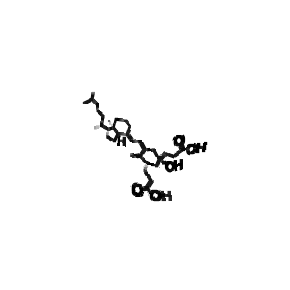 C=C1/C(=C\C=C2/CCC[C@]3(C)[C@@H]([C@H](C)CCCC(C)C)CC[C@@H]23)C[C@](O)(CCC(=O)O)C[C@@H]1CCC(=O)O